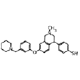 CN1Cc2cc(Oc3cccc(CN4CCCCC4)c3)ccc2C(c2ccc(S)cc2)C1